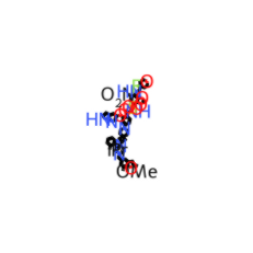 COc1cc(CN2CCN(C3CC4(CCN(c5ccc(C(=O)NS(=O)(=O)c6cc([N+](=O)[O-])c(NCC7(F)CCOCC7)c7c6OCO7)c(Oc6cnc7[nH]ccc7c6)c5)CC4)C3)[C@H](c3ccccc3C(C)C)C2)cc2cc(C)oc12